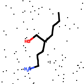 CCCCC(CO)CCCN